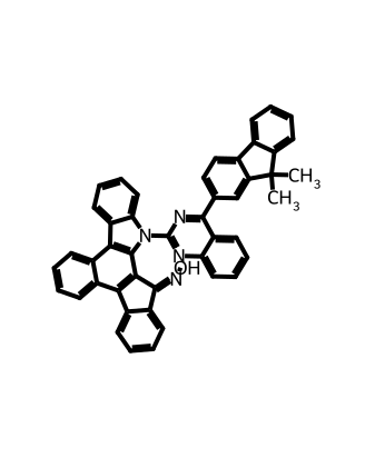 CC1(C)c2ccccc2-c2ccc(-c3nc(-n4c5ccccc5c5c6ccccc6c6c(c54)/C(=N\O)c4ccccc4-6)nc4ccccc34)cc21